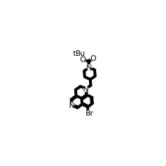 CC(C)(C)OC(=O)N1CCC(CN2CCc3cncc4c(Br)ccc2c34)CC1